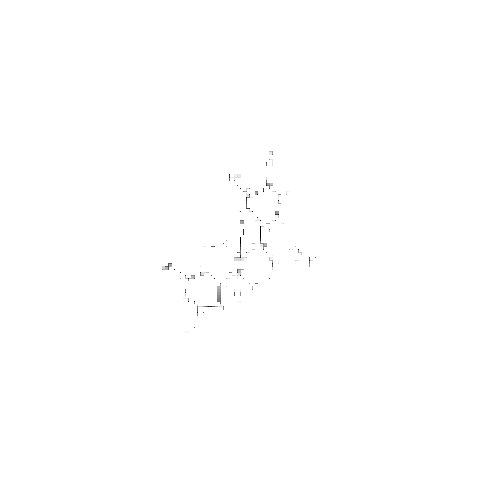 C/C=C/[C@@H]1CC[C@H]2c3cc(F)cc(F)c3CC[C@@H]2[C@H]1c1ccc(Cl)c(F)c1